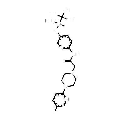 CC(C)(C)[Si](C)(C)Oc1ccc(NC(=O)CN2CCN(c3ccc(F)cn3)CC2)nc1